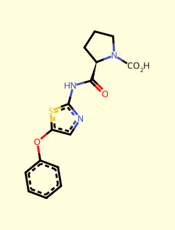 O=C(Nc1ncc(Oc2ccccc2)s1)[C@H]1CCCN1C(=O)O